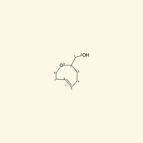 OCC1CC/C=C/CCO1